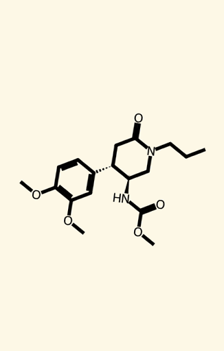 CCCN1C[C@@H](NC(=O)OC)[C@H](c2ccc(OC)c(OC)c2)CC1=O